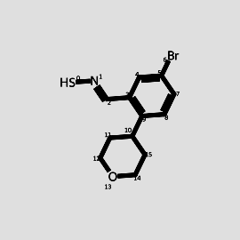 S/N=C/c1cc(Br)ccc1C1CCOCC1